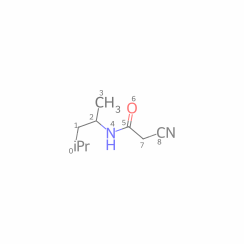 CC(C)CC(C)NC(=O)CC#N